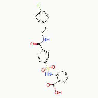 O=C(NCCc1ccc(F)cc1)c1ccc(S(=O)(=O)Nc2ccccc2C(=O)O)cc1